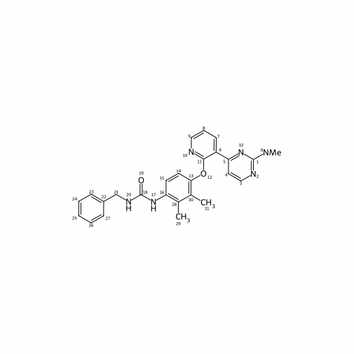 CNc1nccc(-c2cccnc2Oc2ccc(NC(=O)NCc3ccccc3)c(C)c2C)n1